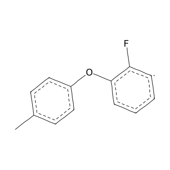 Cc1ccc(Oc2ccc[c]c2F)cc1